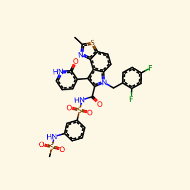 Cc1nc2c(ccc3c2c(-c2ccc[nH]c2=O)c(C(=O)NS(=O)(=O)c2cccc(NS(C)(=O)=O)c2)n3Cc2ccc(F)cc2F)s1